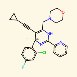 C[C@@]1(c2ccc(F)cc2Cl)N=C(c2ccccn2)NC(CN2CCOCC2)=C1C#CC1CC1